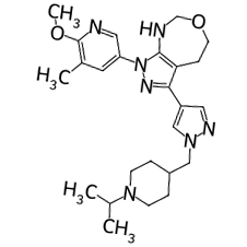 COc1ncc(-n2nc(-c3cnn(CC4CCN(C(C)C)CC4)c3)c3c2NCOCC3)cc1C